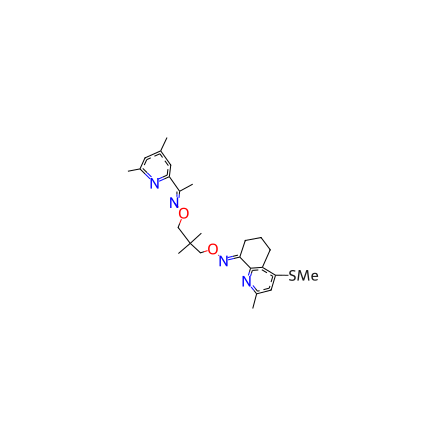 CSc1cc(C)nc2c1CCC/C2=N\OCC(C)(C)CO/N=C(\C)c1cc(C)cc(C)n1